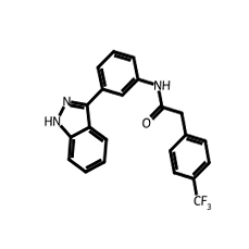 O=C(Cc1ccc(C(F)(F)F)cc1)Nc1cccc(-c2n[nH]c3ccccc23)c1